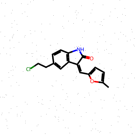 Cc1ccc(C=C2C(=O)Nc3ccc(CCCl)cc32)o1